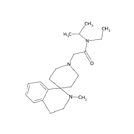 CCN(C(=O)CN1CCC2(CC1)c1ccccc1CCN2C)C(C)C